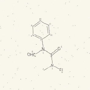 CCN(C)C(=O)N(C=O)c1ccccc1